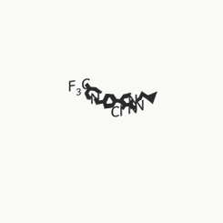 FC(F)(F)C1CCN(Cc2ccc(-c3ccn4c(CC5CC5)nnc4c3Cl)cc2)CC1